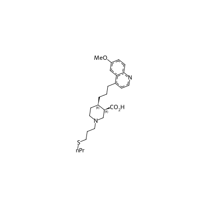 CCCSCCCN1CC[C@@H](CCCc2ccnc3ccc(OC)cc23)[C@@H](C(=O)O)C1